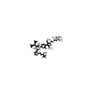 CCc1c(-c2ccc(NC(=O)[C@@H](NC(=O)c3ccnn3CCC(O)C(F)(F)F)C(C3CC3)C3CC3)nc2F)c(C)nn1COCC[Si](C)(C)C